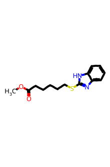 COC(=O)CCCCCSc1nc2ccccc2[nH]1